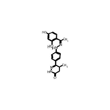 CC(=NNc1ccc(C2=NNC(=O)CC2C)cc1)c1ccc(O)cc1O